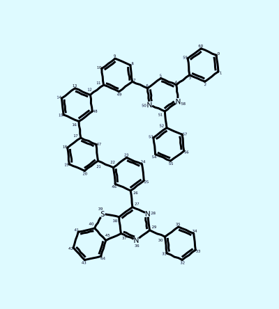 c1ccc(-c2cc(-c3cccc(-c4cccc(-c5cccc(-c6cccc(-c7nc(-c8ccccc8)nc8c7sc7ccccc78)c6)c5)c4)c3)nc(-c3ccccc3)n2)cc1